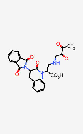 O=C(CNC[C@H](NC(=O)C(Cc1ccccc1)N1C(=O)c2ccccc2C1=O)C(=O)O)C(=O)C(F)(F)F